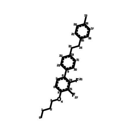 CCCCOc1ccc(-c2ccc(CCc3ccc(C)cc3)cc2)c(F)c1F